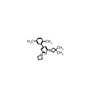 Cc1ccc(C)c(-c2cc(N3CCC3)nc(N3CC(C)(C)C3)c2)c1